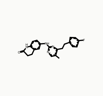 Cc1cnc(Nc2ccc3c(c2)CCC(=O)N3)nc1CCc1ccc(F)cc1